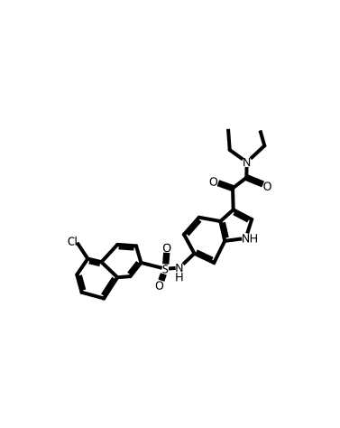 CCN(CC)C(=O)C(=O)c1c[nH]c2cc(NS(=O)(=O)c3ccc4c(Cl)cccc4c3)ccc12